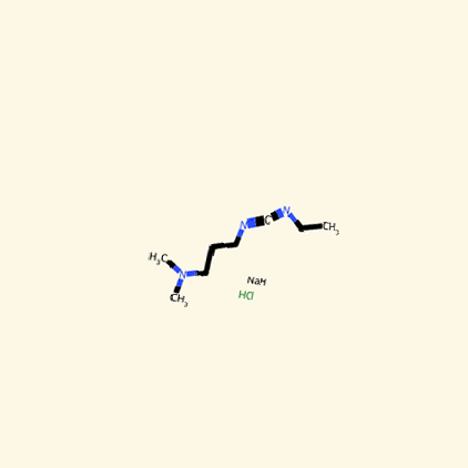 CCN=C=NCCCN(C)C.Cl.[NaH]